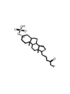 CC12CCC3C(CCC4C[C@H](OS(=O)(=O)O)CCC43C)C1CCC2CCCC(=O)CF